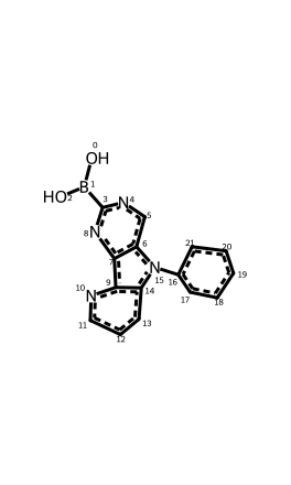 OB(O)c1ncc2c(n1)c1ncccc1n2-c1ccccc1